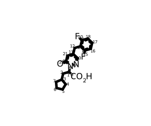 O=C(O)C(CC1CCCC1)n1ncc(Cc2c(F)cccc2F)cc1=O